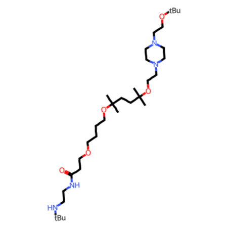 CC(C)(C)NCCNC(=O)CCOCCCCOC(C)(C)CCC(C)(C)OCCN1CCN(CCOC(C)(C)C)CC1